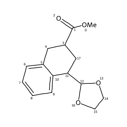 COC(=O)C1Cc2ccccc2C(C2OCCO2)C1